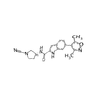 Cc1noc(C)c1-c1ccc2cc(C(=O)N[C@@H]3CCN(C#N)C3)[nH]c2c1